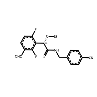 CCO[C@H](C(=O)NCc1ccc(C#N)cc1)c1c(F)ccc(C=O)c1F